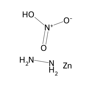 NN.O=[N+]([O-])O.[Zn]